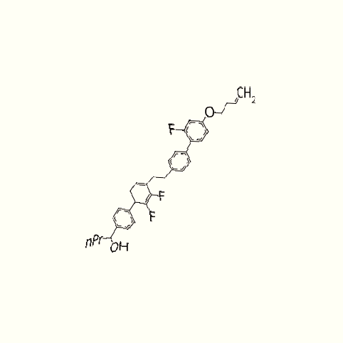 C=CCCOc1ccc(-c2ccc(CCC3=CCC(c4ccc(C(O)CCC)cc4)C(F)=C3F)cc2)c(F)c1